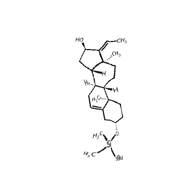 C/C=C1/[C@H](O)C[C@H]2[C@@H]3CC=C4C[C@@H](O[Si](C)(C)C(C)(C)C)CC[C@]4(C)[C@H]3CC[C@]12C